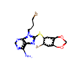 Nc1ncnc2c1nc(Sc1cc3c(cc1Br)OCO3)n2CCCBr